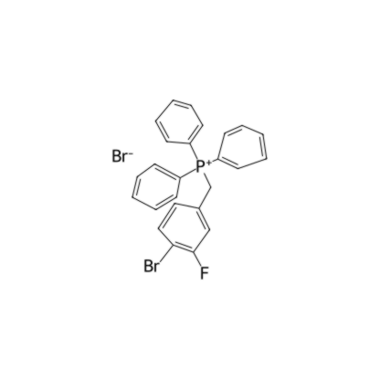 Fc1cc(C[P+](c2ccccc2)(c2ccccc2)c2ccccc2)ccc1Br.[Br-]